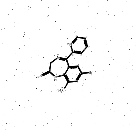 Cc1cc(Br)cc2c1NC(=S)CN=C2c1ccccn1